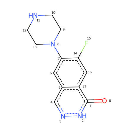 O=c1[nH]ncc2cc(N3CCNCC3)c(F)cc12